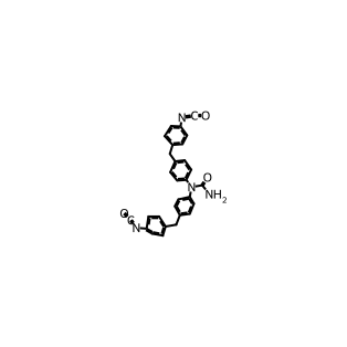 NC(=O)N(c1ccc(Cc2ccc(N=C=O)cc2)cc1)c1ccc(Cc2ccc(N=C=O)cc2)cc1